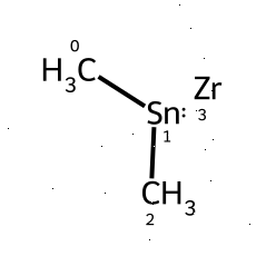 [CH3][Sn][CH3].[Zr]